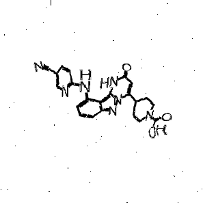 N#Cc1ccc(Nc2cccc3nn4c(C5CCN(C(=O)O)CC5)cc(=O)[nH]c4c23)nc1